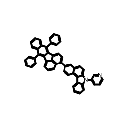 c1ccc(-c2c3c(c(-c4ccccc4)c4ccccc24)-c2ccc(-c4ccc5c(ccc6c5c5ccccc5n6-c5cccnc5)c4)c4cccc-3c24)cc1